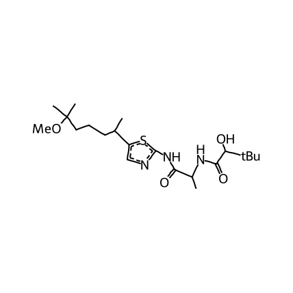 COC(C)(C)CCCC(C)c1cnc(NC(=O)C(C)NC(=O)C(O)C(C)(C)C)s1